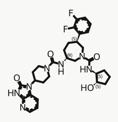 O=C(N[C@@H]1CC[C@@H](c2cccc(F)c2F)CN(C(=O)N[C@H]2CCC[C@@H]2O)C1)N1CCC(n2c(=O)[nH]c3ncccc32)CC1